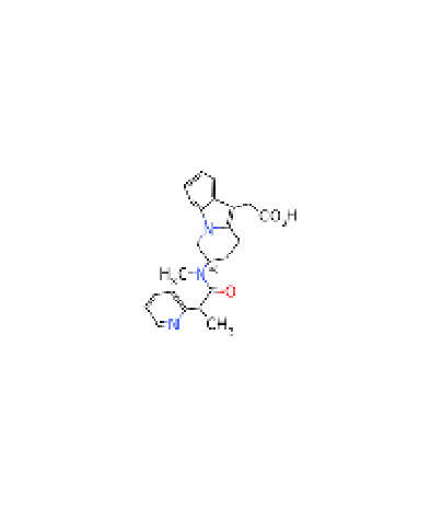 CC(C(=O)N(C)[C@@H]1CCc2c(CC(=O)O)c3ccccc3n2C1)c1ccccn1